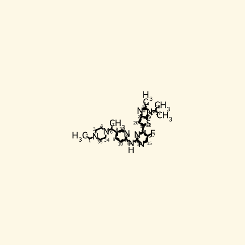 CCN1CCN(C(C)c2ccc(Nc3ncc(F)c(-c4cc5nc(C)n(C(C)C)c5s4)n3)nc2)CC1